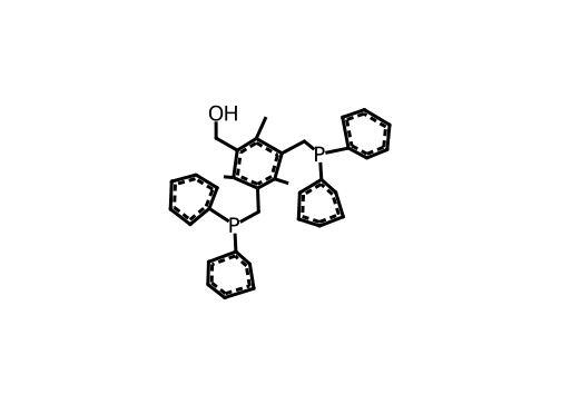 Cc1c(CO)c(C)c(CP(c2ccccc2)c2ccccc2)c(C)c1CP(c1ccccc1)c1ccccc1